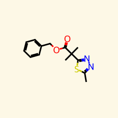 Cc1nnc(C(C)(C)C(=O)OCc2ccccc2)s1